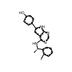 C[C@@H](Nc1ncnc2[nH]c(-c3ccc(O)cc3)cc12)c1ccccc1I